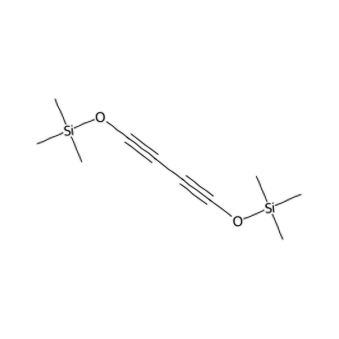 C[Si](C)(C)OC#CC#CO[Si](C)(C)C